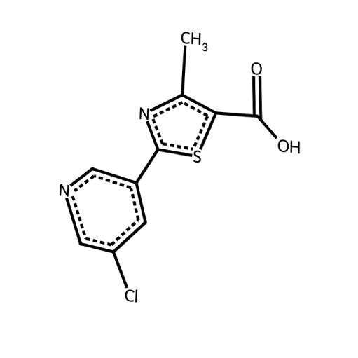 Cc1nc(-c2cncc(Cl)c2)sc1C(=O)O